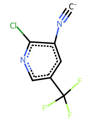 [C-]#[N+]c1cc(C(F)(F)F)cnc1Cl